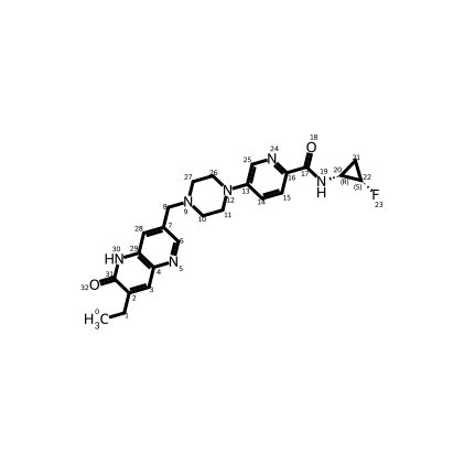 CCc1cc2ncc(CN3CCN(c4ccc(C(=O)N[C@@H]5C[C@@H]5F)nc4)CC3)cc2[nH]c1=O